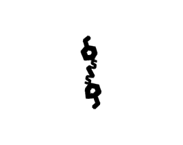 CCc1ccc(SCCSc2ccc(CC)cc2)cc1